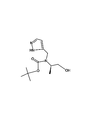 C[C@H](CO)N(Cc1ccn[nH]1)C(=O)OC(C)(C)C